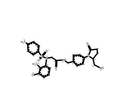 Cc1ccc(S(=O)(=O)N(CC(=O)NCc2ccc(N3C(=O)CCC3CN=O)cc2)c2cccc(Cl)c2C)cc1